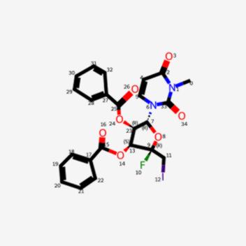 Cn1c(=O)ccn([C@@H]2O[C@](F)(CI)[C@@H](OC(=O)c3ccccc3)[C@H]2OC(=O)c2ccccc2)c1=O